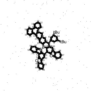 CC(C)(C)c1cc(C2c3cc4cc5c6ccccc6c6ccccc6c5cc4cc3B3c4c2cc2c(oc5ccccc52)c4-c2cc4c5ccccc5oc4c4c5ccccc5n3c24)cc(C(C)(C)C)c1